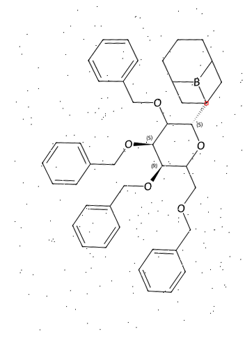 c1ccc(COCC2O[C@@H](CB3C4CCCC3CCC4)C(OCc3ccccc3)[C@H](OCc3ccccc3)[C@@H]2OCc2ccccc2)cc1